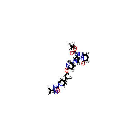 CC(C)c1noc(N2CCC(C(C)CCOc3ccc(N4C[C@H](NC(=O)OC(C)(C)C)[C@@H](N5CCCCC5=O)C4)cn3)CC2)n1